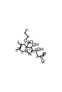 CCCOC(=O)C12CC(C)=C(C)CN1N=C(C(O)C[N+](=O)[O-])C2O